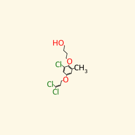 Cc1cc(OCC=C(Cl)Cl)cc(Cl)c1OCCCCO